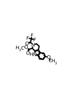 COC(=O)C1c2[nH]c3ccc(OC)cc3c2CCN1C(=O)C(F)(F)F